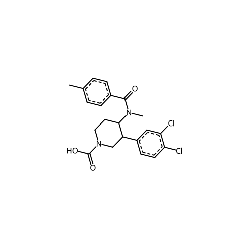 Cc1ccc(C(=O)N(C)C2CCN(C(=O)O)CC2c2ccc(Cl)c(Cl)c2)cc1